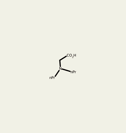 CCCN(CCC)CC(=O)O